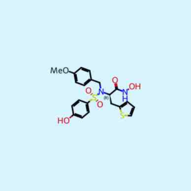 COc1ccc(CN([C@H](Cc2cccs2)C(=O)NO)S(=O)(=O)c2ccc(O)cc2)cc1